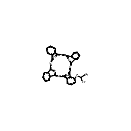 CC(C)C(Oc1cccc2c3nc4nc(nc5[nH]c(nc6nc(nc([nH]3)c12)-c1ccccc1-6)c1ccccc51)-c1ccccc1-4)C(C)C